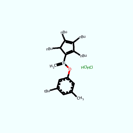 Cl.Cl.[CH2]=[Ti]([O]c1cc(C)cc(C(C)(C)C)c1)[C]1=C(CCCC)C(CCCC)=C(CCCC)C1CCCC